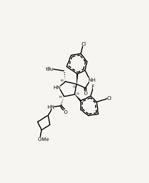 COC1CC(NC(=O)[C@@H]2N[C@H](CC(C)(C)C)[C@]3(C(=O)Nc4cc(Cl)ccc43)[C@H]2c2cccc(Cl)c2F)C1